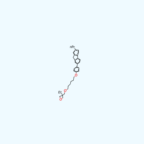 CCCc1ccc2c(c1)Cc1cc(-c3ccc(OCCCCCCOCC4(CC)COC4)cc3)ccc1-2